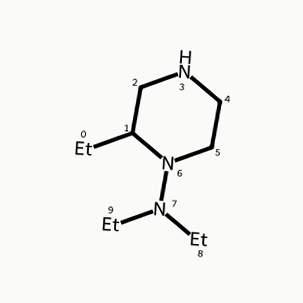 CCC1CNCCN1N(CC)CC